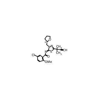 C#CC(C)(C)c1nn(C[C@H]2CCCO2)c(=NC(=O)c2cc(Cl)ccc2OC)s1